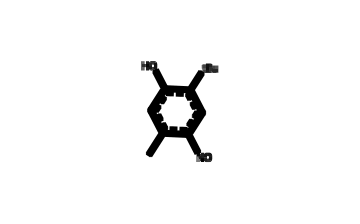 Cc1cc(O)c(C(C)(C)C)cc1N=O